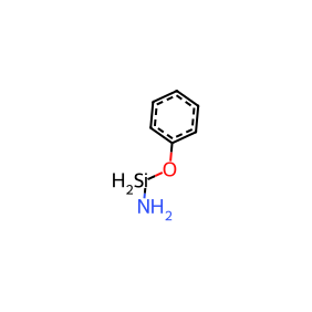 N[SiH2]Oc1ccccc1